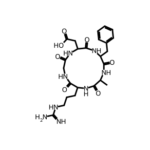 CC1NC(=O)C(Cc2ccccc2)NC(=O)C(CC(=O)O)NC(=O)CNC(=O)C(CCCNC(=N)N)NC1=O